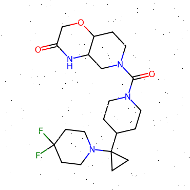 O=C1COC2CCN(C(=O)N3CCC(C4(N5CCC(F)(F)CC5)CC4)CC3)CC2N1